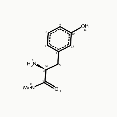 CNC(=O)[C@@H](N)Cc1cccc(O)c1